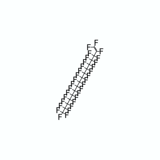 FC(F)=C(F)C(F)(F)C(F)(F)C(F)(F)C(F)(F)C(F)(F)C(F)(F)C(F)(F)C(F)(F)C(F)(F)C(F)(F)C(F)(F)C(F)(F)C(F)(F)C(F)(F)F